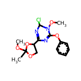 CON1C(Oc2ccccc2)=NC(C2COC(C)(OC)O2)=NC1Cl